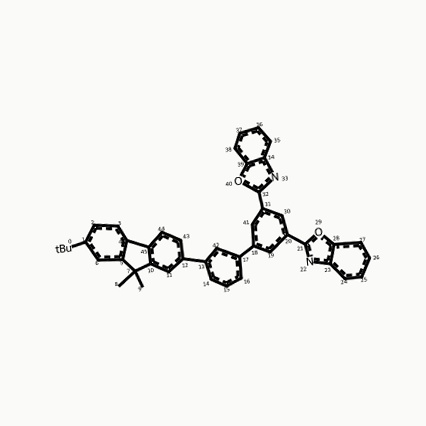 CC(C)(C)c1ccc2c(c1)C(C)(C)c1cc(-c3cccc(-c4cc(-c5nc6ccccc6o5)cc(-c5nc6ccccc6o5)c4)c3)ccc1-2